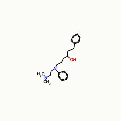 CN(C)CCN(CCCC(O)CCc1ccccc1)c1ccccc1